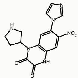 O=c1[nH]c2cc([N+](=O)[O-])c(-n3ccnc3)cc2n(C2CCNC2)c1=O